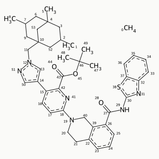 C.CC1CC2(C)CC(C)CC(Cn3cc(-c4ccc(N5CCc6cccc(C(=O)Nc7nc8ccccc8s7)c6C5)nc4C(=O)OC(C)(C)C)cn3)(C1)C2